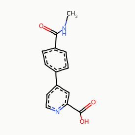 CNC(=O)c1ccc(-c2ccnc(C(=O)O)c2)cc1